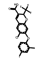 Cc1cc(I)ccc1Oc1cc2c(cc1Cl)C=C(C(=O)O)C(C(F)(F)F)O2